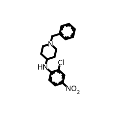 O=[N+]([O-])c1ccc(NC2CCN(Cc3ccccc3)CC2)c(Cl)c1